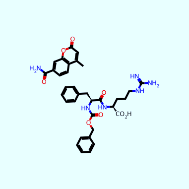 Cc1cc(=O)oc2cc(C(N)=O)ccc12.N=C(N)NCCC[C@H](NC(=O)[C@H](Cc1ccccc1)NC(=O)OCc1ccccc1)C(=O)O